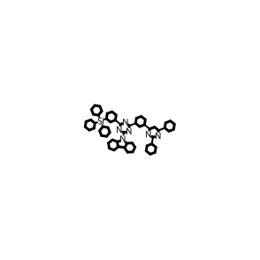 c1ccc(-c2cc(-c3cccc(-c4nc(-c5cccc([Si](c6ccccc6)(c6ccccc6)c6ccccc6)c5)nc(-n5c6ccccc6c6ccccc65)n4)c3)nc(-c3ccccc3)n2)cc1